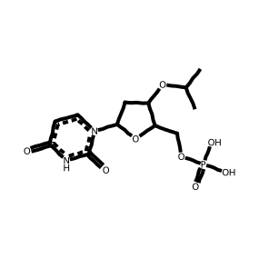 CC(C)OC1CC(n2ccc(=O)[nH]c2=O)OC1COP(=O)(O)O